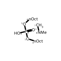 CCCCCCCCOP(=O)(O)OCCCCCCCC.CNC